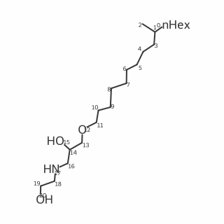 CCCCCCC(C)CCCCCCCCCOCC(O)CNCCO